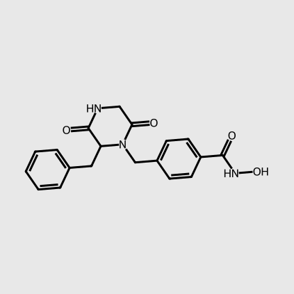 O=C(NO)c1ccc(CN2C(=O)CNC(=O)C2Cc2ccccc2)cc1